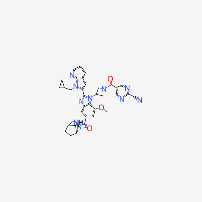 COc1cc(C(=O)N2CC3CCC2[C@@H]3N)cc2nc(-c3cc4cccnc4n3CC3CC3)n(C3CN(C(=O)c4cnc(C#N)nc4)C3)c12